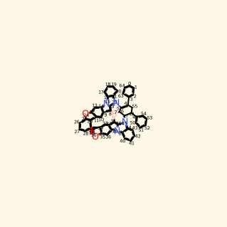 c1ccc(C2=C3C4B(c5c6cc7c(cc6n6c8ccccc8n3c56)oc3ccccc37)c3c5cc6c(cc5n5c7ccccc7n(c35)C4C(c3ccccc3)C2)oc2ccccc26)cc1